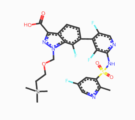 Cc1ncc(F)cc1S(=O)(=O)Nc1ncc(F)c(-c2ccc3c(C(=O)O)nn(COCC[Si](C)(C)C)c3c2F)c1F